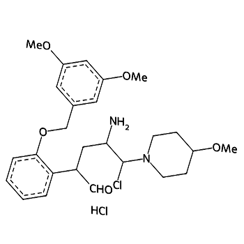 COc1cc(COc2ccccc2C(C=O)CC(N)C(Cl)N2CCC(OC)CC2)cc(OC)c1.Cl